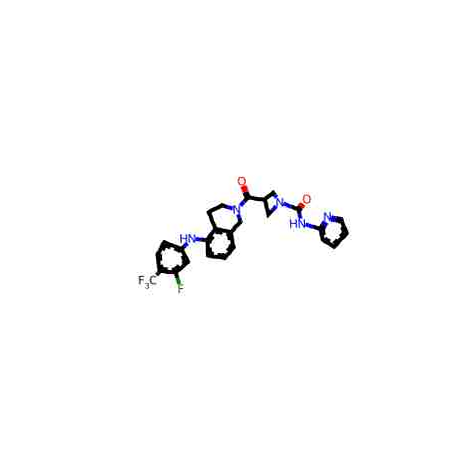 O=C(Nc1ccccn1)N1CC(C(=O)N2CCc3c(cccc3Nc3ccc(C(F)(F)F)c(F)c3)C2)C1